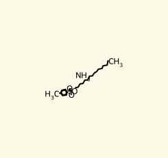 CCCCCCCCCCCCCCCCOS(=O)(=O)c1ccc(C)cc1.N